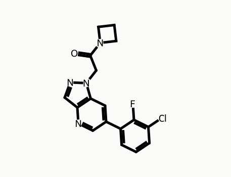 O=C(Cn1ncc2ncc(-c3cccc(Cl)c3F)cc21)N1CCC1